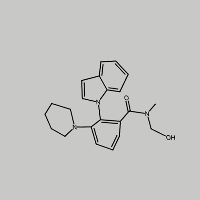 CN(CO)C(=O)c1cccc(N2CCCCC2)c1-n1ccc2ccccc21